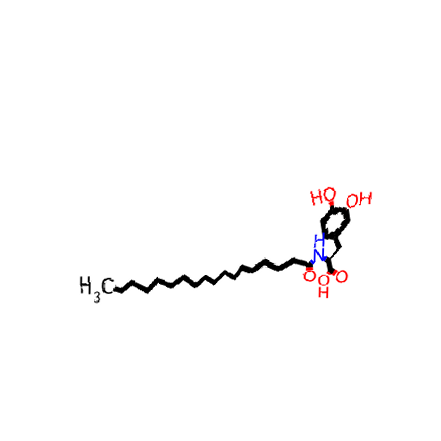 CCCCCCCCCCCCCCCCCC(=O)N[C@@H](Cc1ccc(O)c(O)c1)C(=O)O